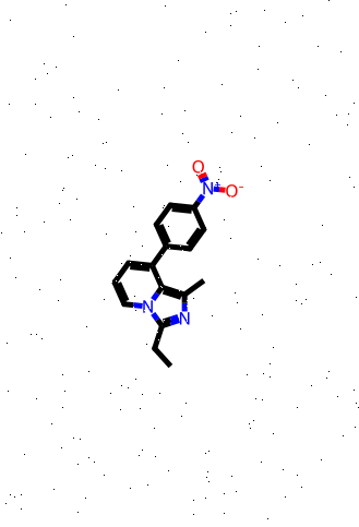 CCc1nc(C)c2c(-c3ccc([N+](=O)[O-])cc3)cccn12